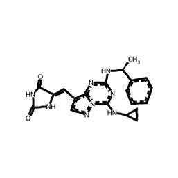 C[C@H](Nc1nc(NC2CC2)n2ncc(/C=C3\NC(=O)NC3=O)c2n1)c1ccccc1